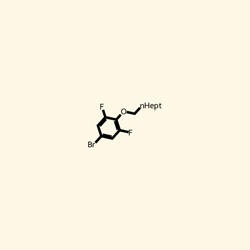 CCCCCCCCOc1c(F)cc(Br)cc1F